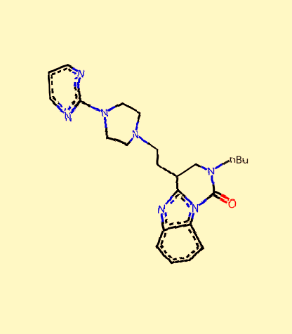 CCCCN1CC(CCN2CCN(c3ncccn3)CC2)c2nc3ccccc3n2C1=O